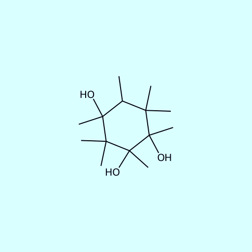 CC1C(C)(C)C(C)(O)C(C)(O)C(C)(C)C1(C)O